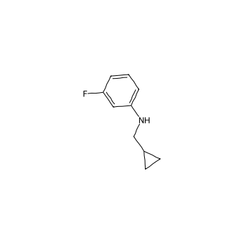 Fc1cccc(NCC2CC2)c1